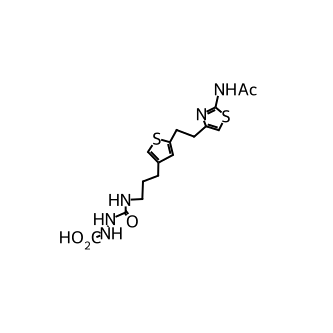 CC(=O)Nc1nc(CCc2cc(CCCNC(=O)NNC(=O)O)cs2)cs1